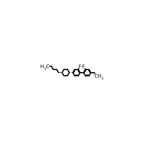 CCCCC[C@H]1CC[C@H](c2ccc(-c3ccc(CC)cc3F)c(F)c2)CC1